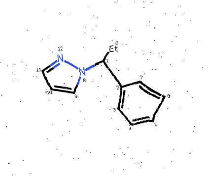 CCC(c1ccccc1)n1cccn1